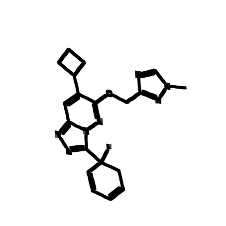 Cn1cnc(COc2nn3c(C4(F)C=CC=CC4)nnc3cc2C2CCC2)n1